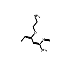 C=N/C(N)=C\C(=C/C)OCCN